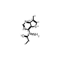 CCC(=O)N(N)c1ncnc2c(C)csc12